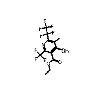 CCOC(=O)c1c(C(F)(F)F)nc(C(F)(F)C(F)(F)F)c(C)c1O